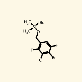 CC(C)(C)[Si](C)(C)OCc1cc(F)c(Br)c(Cl)c1F